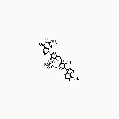 Nc1nc2c(ccn2[C@@H]2OC3CC[C@@H]4C(COP(=O)(O)O[C@@H]2[C@@H]3O)O[C@@H](n2cnc3c(N)ncnc32)[C@@H]4O)c(=O)[nH]1